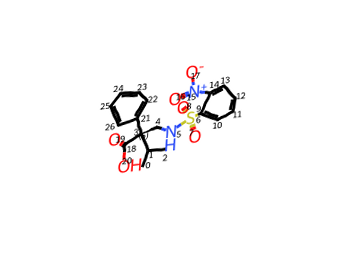 CC(C)[C@](CNS(=O)(=O)c1ccccc1[N+](=O)[O-])(C(=O)O)c1ccccc1